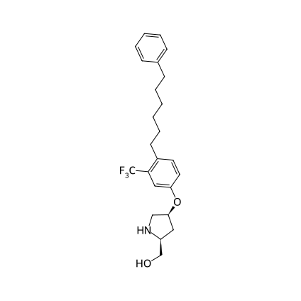 OC[C@@H]1C[C@H](Oc2ccc(CCCCCCc3ccccc3)c(C(F)(F)F)c2)CN1